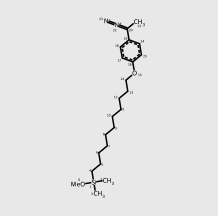 CO[Si](C)(C)CCCCCCCCCCCOc1ccc(C(C)=[N+]=[N-])cc1